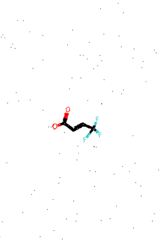 [O]C(=O)C=CC(F)(F)F